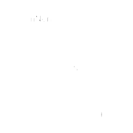 C=CCCCCCCSCCCCCCCCCCCCCCCC